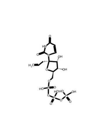 C=CC[C@@]1(n2ccc(=O)[nH]c2=O)O[C@H](COP(=O)(O)OP(=O)(O)OP(=O)(O)O)[C@@H](O)[C@H]1O